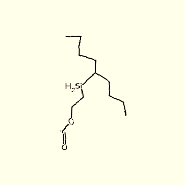 CCCCC(CCCC)[SiH2]CCO[C]=O